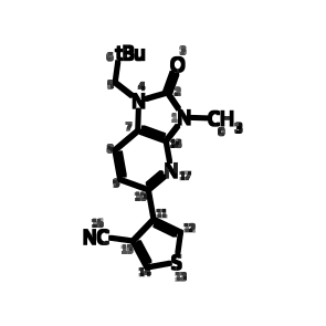 Cn1c(=O)n(CC(C)(C)C)c2ccc(-c3cscc3C#N)nc21